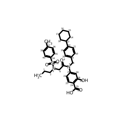 CCCN(CC(=O)N(Cc1ccc(C2CCCCC2)cc1)c1ccc(C(=O)O)c(O)c1)S(=O)(=O)c1ccc(C)cc1